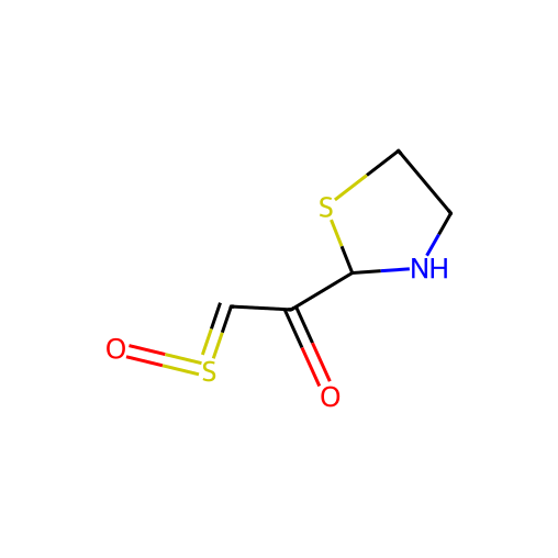 O=S=CC(=O)C1NCCS1